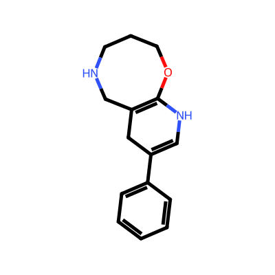 C1=C(c2ccccc2)CC2=C(N1)OCCCNC2